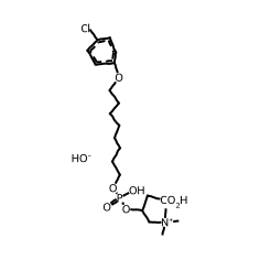 C[N+](C)(C)CC(CC(=O)O)OP(=O)(O)OCCCCCCCCOc1ccc(Cl)cc1.[OH-]